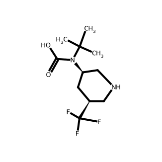 CC(C)(C)N(C(=O)O)[C@H]1CNC[C@@H](C(F)(F)F)C1